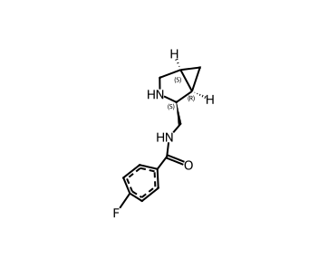 O=C(NC[C@H]1NC[C@H]2C[C@H]21)c1ccc(F)cc1